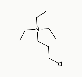 CC[N+](CC)(CC)CCCCl